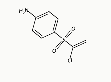 C=C(Cl)S(=O)(=O)c1ccc(N)cc1